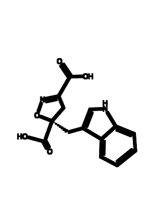 O=C(O)C1=NO[C@](Cc2c[nH]c3ccccc23)(C(=O)O)C1